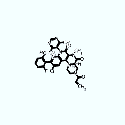 C=CC(=O)N1CCN2c3c(c(=O)n(-c4c(C)ncnc4C)c4nc(-c5c(O)cccc5F)c(Cl)cc34)N(C)C(=O)[C@H]2C1